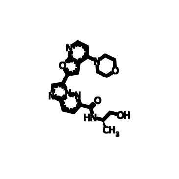 C[C@@H](CO)NC(=O)c1ccc2ncc(-c3cc4c(N5CCOCC5)ccnc4o3)n2n1